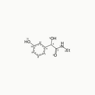 CCNC(=O)C(O)c1cccc(O)c1